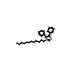 CCCCCCCCCCCCn1cnc(-c2ccccc2)c1-c1ccccc1